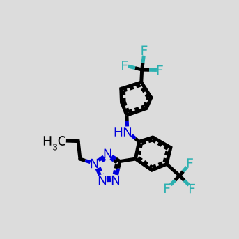 CCCn1nnc(-c2cc(C(F)(F)F)ccc2Nc2ccc(C(F)(F)F)cc2)n1